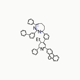 CCC1CC(c2ccccc2)N=C(c2ccc3c(c2)oc2ccccc23)C=C1c1cccc(/C2=N/C(c3cccc(-c4ccccc4)c3)=N\C(c3ccccc3)=C/CCC2)c1